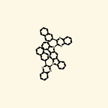 c1ccc2cc(-c3nc4ccccc4nc3-n3c4ccccc4c4cc5c(cc43)c3ccccc3n5-c3nc4ccccc4nc3-c3ccc4ccccc4c3)ccc2c1